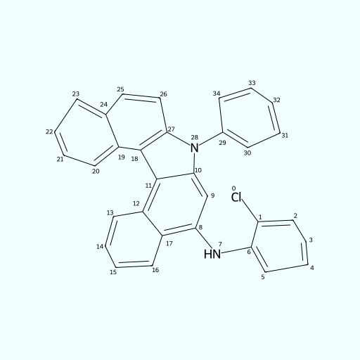 Clc1ccccc1Nc1cc2c(c3ccccc13)c1c3ccccc3ccc1n2-c1ccccc1